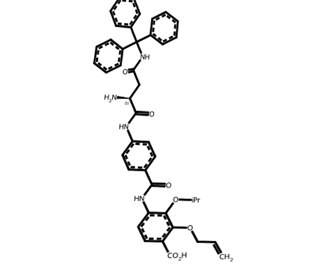 C=CCOc1c(C(=O)O)ccc(NC(=O)c2ccc(NC(=O)[C@@H](N)CC(=O)NC(c3ccccc3)(c3ccccc3)c3ccccc3)cc2)c1OC(C)C